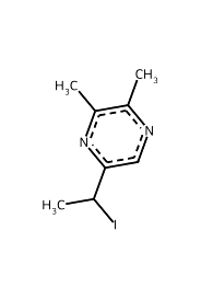 Cc1ncc(C(C)I)nc1C